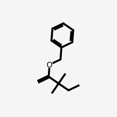 C=C(OCc1ccccc1)C(C)(C)CC